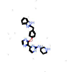 c1ccc2[nH]c(Cc3ccc(Oc4nccnc4-c4ccnc(NC5CCCNC5)n4)cc3)nc2c1